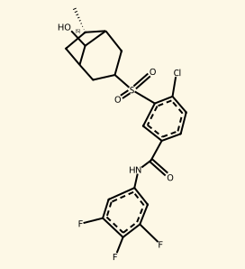 C[C@H]1CC2CC(S(=O)(=O)c3cc(C(=O)Nc4cc(F)c(F)c(F)c4)ccc3Cl)CC1C2O